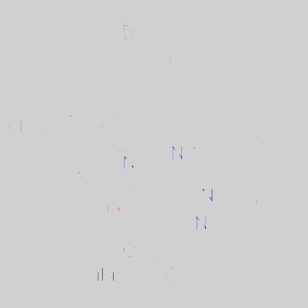 CC(C)OC(=O)c1nn(-c2ccccc2)c2nc(-c3ccc(Br)cc3)n(-c3ccc(Cl)cc3)c(=O)c12